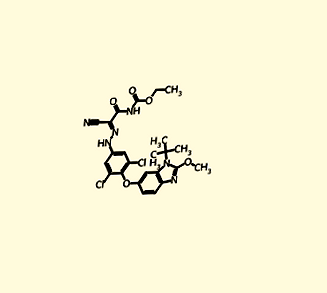 CCOC(=O)NC(=O)/C(C#N)=N/Nc1cc(Cl)c(Oc2ccc3nc(OC)n(C(C)(C)C)c3c2)c(Cl)c1